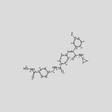 O=C(NC1CC1)C(=Cc1ccc(C(=O)NCc2ccc(C(=O)NO)cc2)cc1)c1cccc(F)c1